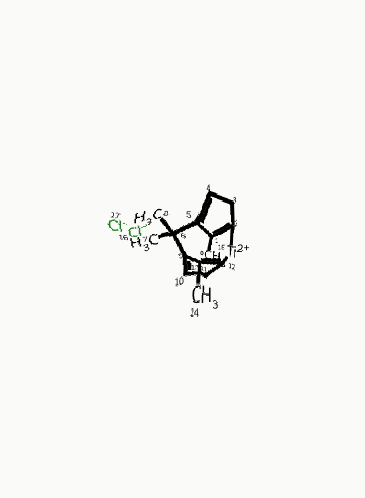 CC1=[C]2CC=C1C(C)(C)C1=CC[C](=C1C)[Ti+2]2.[Cl-].[Cl-]